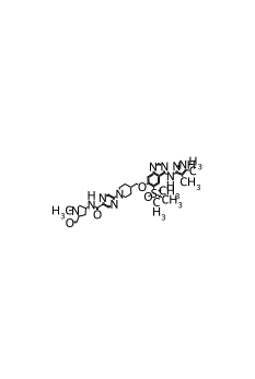 Cc1[nH]nc(Nc2ncnc3cc(OCC4CCN(c5cnc(C(=O)NC6CC(C=O)N(C)C6)cn5)CC4)c([S+]([O-])C(C)(C)C)cc23)c1C